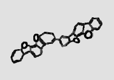 C1=CC2Oc3c(ccc4c3oc3ccc(-c5ccc6oc7c(ccc8c9ccccc9oc87)c6c5)cc34)C2C=C1